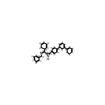 C1=CCCC(C2=CC=CC(c3ccc(C4NN4/C(=N\Cc4ccccc4)C4C=CC=CC4)cc3)C2)=C1